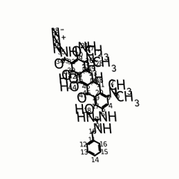 CN(C)c1cc(NC(=N)NCc2ccccc2)c(O)c2c1C[C@H]1C[C@H]3C(N(C)C)C(ON)=C(C(=O)NN=[N+]=[N-])C(=O)[C@@]3(O)C(O)=C1C2=O